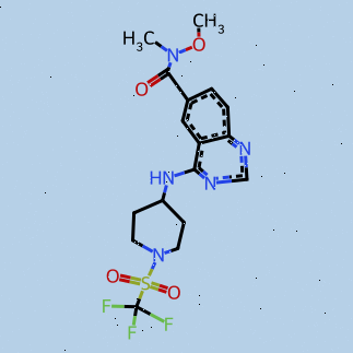 CON(C)C(=O)c1ccc2ncnc(NC3CCN(S(=O)(=O)C(F)(F)F)CC3)c2c1